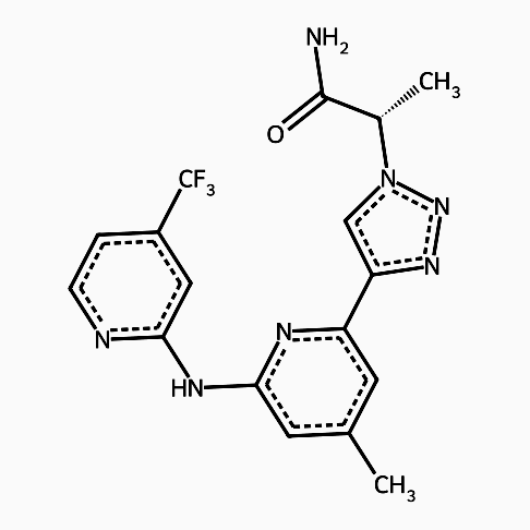 Cc1cc(Nc2cc(C(F)(F)F)ccn2)nc(-c2cn([C@@H](C)C(N)=O)nn2)c1